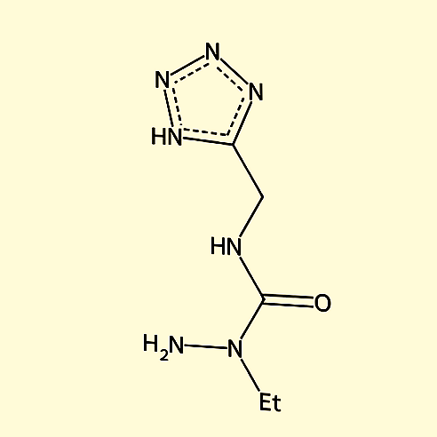 CCN(N)C(=O)NCc1nnn[nH]1